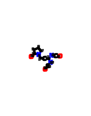 O=C=NC(=C=CN1CCCC1=O)N=C=O